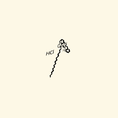 CCCCCCCCCCCCCCCCCC(=O)N1NC(Cc2ccccc2)=Nc2cccnc21.Cl